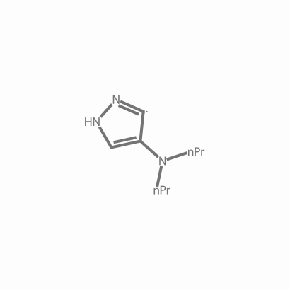 CCCN(CCC)c1[c]n[nH]c1